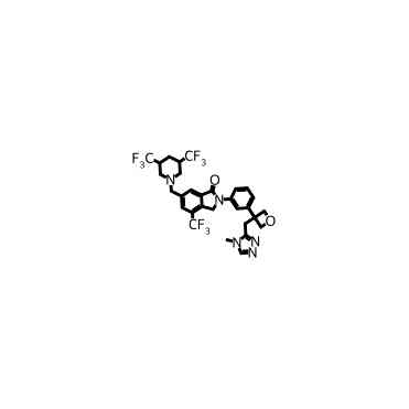 Cn1cnnc1CC1(c2cccc(N3Cc4c(cc(CN5CC(C(F)(F)F)CC(C(F)(F)F)C5)cc4C(F)(F)F)C3=O)c2)COC1